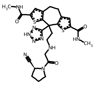 CNC(=O)c1cc2c(s1)C(CCNCC(=O)N1CCC[C@H]1C#N)(c1nn[nH]n1)c1sc(C(=O)NC)cc1CC2